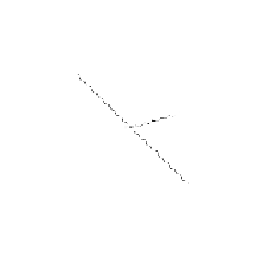 CCCCCCCCCCCCCCCCCC[NH][Ti+]([NH]CCCCCCCCCCCCCCCCCC)[O]CCCCCCCCCC.[Cl-]